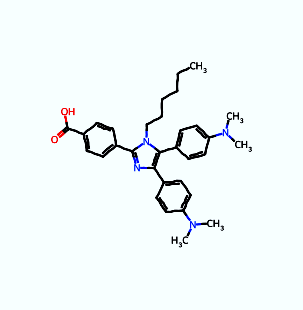 CCCCCCn1c(-c2ccc(C(=O)O)cc2)nc(-c2ccc(N(C)C)cc2)c1-c1ccc(N(C)C)cc1